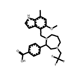 COc1cc(C)c2[nH]ccc2c1CN1CCCN(CC(F)(F)F)CC1c1ccc(C(=O)O)cc1